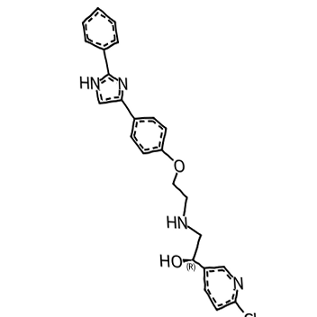 O[C@@H](CNCCOc1ccc(-c2c[nH]c(-c3ccccc3)n2)cc1)c1ccc(Cl)nc1